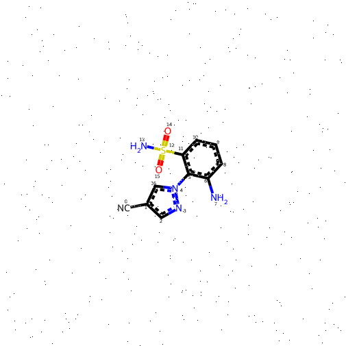 N#Cc1cnn(-c2c(N)cccc2S(N)(=O)=O)c1